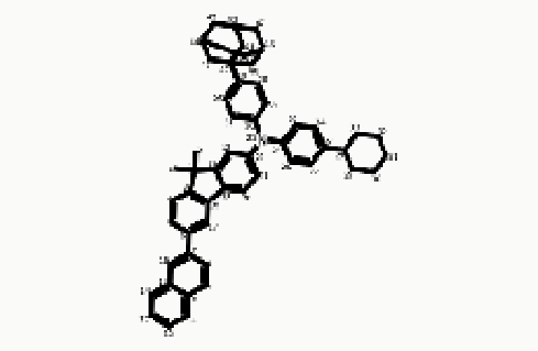 CC1(C)c2ccc(-c3ccc4ccccc4c3)cc2-c2ccc(N(c3ccc(C4CCCCC4)cc3)c3ccc(C45CC6CC(CC(C6)C4)C5)cc3)cc21